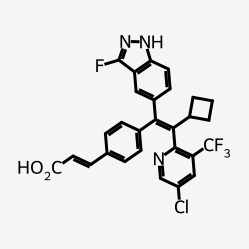 O=C(O)/C=C/c1ccc(/C(=C(\c2ncc(Cl)cc2C(F)(F)F)C2CCC2)c2ccc3[nH]nc(F)c3c2)cc1